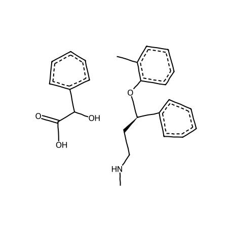 CNCC[C@@H](Oc1ccccc1C)c1ccccc1.O=C(O)C(O)c1ccccc1